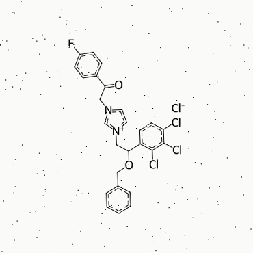 O=C(Cn1cc[n+](CC(OCc2ccccc2)c2ccc(Cl)c(Cl)c2Cl)c1)c1ccc(F)cc1.[Cl-]